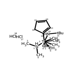 C[SiH](C)[Ti]([CH3])([CH3])([CH3])([CH3])([CH3])([CH3])([NH]C(C)(C)C)[C]1=CC=CC1.Cl.Cl